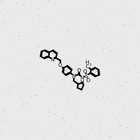 Cc1ccccc1S(=O)(=O)NC(=O)N(CC1CCCC1)c1ccc(OCc2ccc3ccccc3n2)cc1